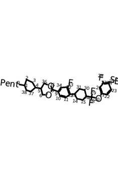 CCCCCC1CCC(C2COC(c3ccc(C4CCC(C(F)(F)Oc5ccc(SCC)c(F)c5)CC4)c(F)c3)OC2)CC1